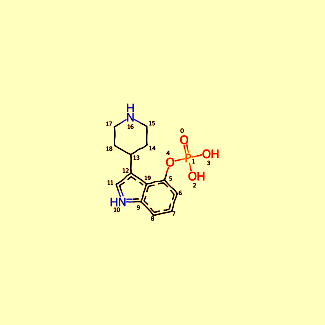 O=P(O)(O)Oc1cccc2[nH]cc(C3CCNCC3)c12